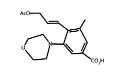 CC(=O)OC/C=C/c1c(C)cc(C(=O)O)cc1N1CCOCC1